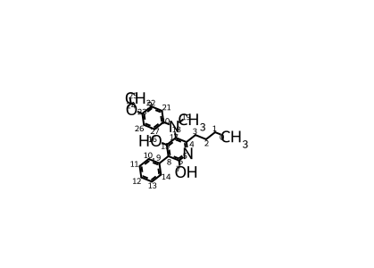 CCCCc1nc(O)c(-c2[c]cccc2)c(O)c1N(C)c1ccc(OC)cc1